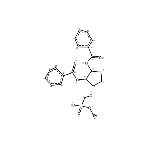 CC(C)OP(=O)(O)CO[C@H]1COC(OC(=O)c2ccccc2)[C@@H]1OC(=O)c1ccccc1